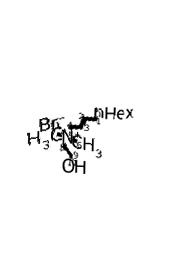 CCCCCCCCCC[N+](C)(C)CCO.[Br-]